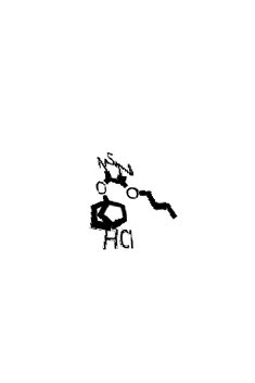 CC=CCOc1nsnc1OC12CCC(CC1)C2.Cl